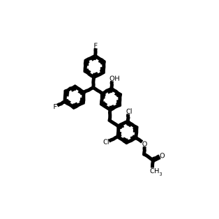 CC(=O)COc1cc(Cl)c(Cc2ccc(O)c(C(c3ccc(F)cc3)c3ccc(F)cc3)c2)c(Cl)c1